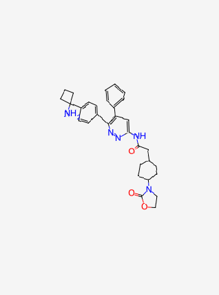 NC1(c2ccc(-c3nnc(NC(=O)CC4CCC(N5CCOC5=O)CC4)cc3-c3ccccc3)cc2)CCC1